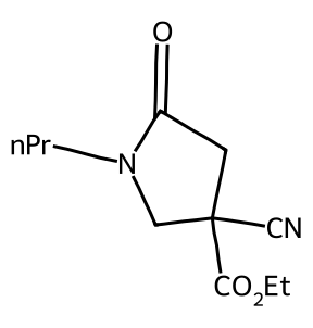 CCCN1CC(C#N)(C(=O)OCC)CC1=O